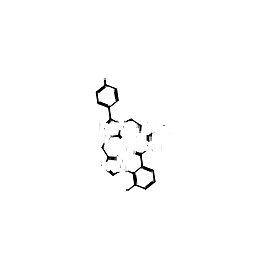 O=C(NCC(F)(F)F)c1cccc(Cl)c1-n1cnc(Cn2nc(-c3ccc(Cl)cc3)n(C[C@@H](O)C(F)(F)F)c2=O)n1